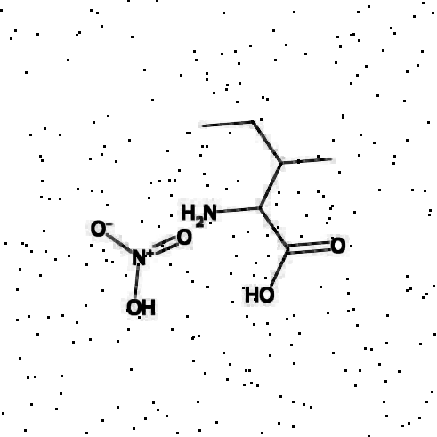 CCC(C)C(N)C(=O)O.O=[N+]([O-])O